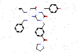 C=CCN1CC(=O)N2[C@@H](Cc3ccc(O)cc3)C(=O)N(Cc3cccc(C(=O)N4CCCC4)c3)C[C@@H]2N1NCc1ccccc1